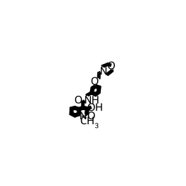 Cn1c(=O)c(O)c(C(=O)NCc2cccc(OCCN3CCOCC3)c2)c2ccccc21